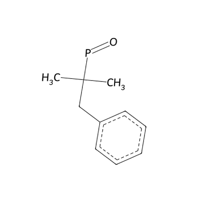 CC(C)(Cc1ccccc1)P=O